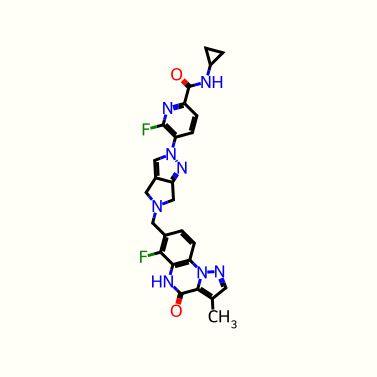 Cc1cnn2c1c(=O)[nH]c1c(F)c(CN3Cc4cn(-c5ccc(C(=O)NC6CC6)nc5F)nc4C3)ccc12